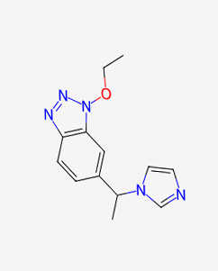 CCOn1nnc2ccc(C(C)n3ccnc3)cc21